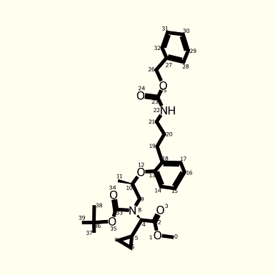 COC(=O)[C@H](C1CC1)N(C[C@@H](C)Oc1ccccc1CCCNC(=O)OCc1ccccc1)C(=O)OC(C)(C)C